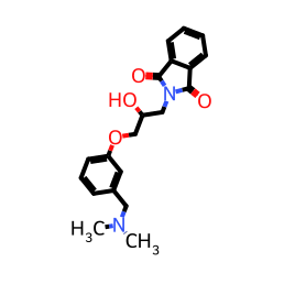 CN(C)Cc1cccc(OCC(O)CN2C(=O)c3ccccc3C2=O)c1